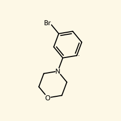 Brc1cc[c]c(N2CCOCC2)c1